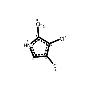 Cc1[nH][c]c(Cl)c1Cl